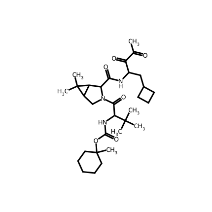 CC(=O)C(=O)C(CC1CCC1)NC(=O)C1C2C(CN1C(=O)C(NC(=O)OC1(C)CCCCC1)C(C)(C)C)C2(C)C